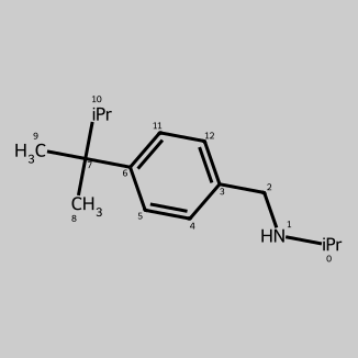 CC(C)NCc1ccc(C(C)(C)C(C)C)cc1